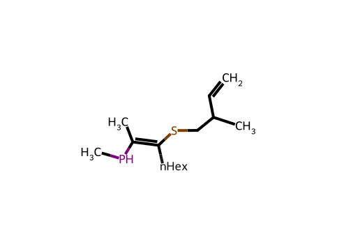 C=CC(C)CS/C(CCCCCC)=C(\C)PC